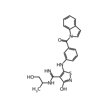 CC(CO)NC(=N)c1c(O)nsc1Nc1cccc(C(=O)n2ccc3ccccc32)c1